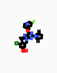 Oc1cc(Cl)c(C2CC2)c(Cn2cnc3c(OC[C@@]45CCCN4C[C@H](F)C5)nc(N4C[C@H]5CC[C@@H](C4)N5)nc32)c1